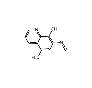 Cc1cc(N=O)c(O)c2ncccc12